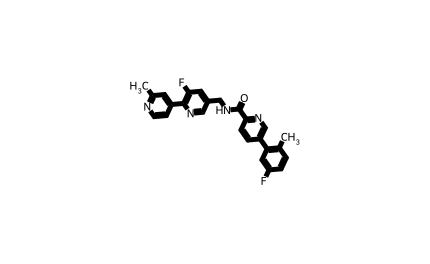 Cc1cc(-c2ncc(CNC(=O)c3ccc(-c4cc(F)ccc4C)cn3)cc2F)ccn1